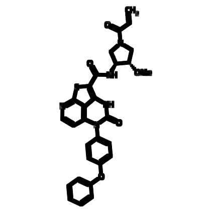 C=CC(=O)N1C[C@H](NC(=O)c2sc3nccc4c3c2NC(=O)N4c2ccc(Oc3ccccc3)cc2)[C@@H](OC)C1